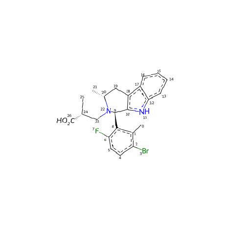 Cc1c(Br)ccc(F)c1[C@@H]1c2[nH]c3ccccc3c2C[C@@H](C)N1C[C@@H](C)C(=O)O